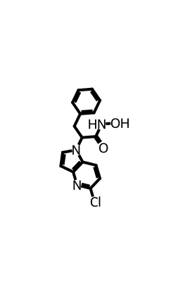 O=C(NO)C(Cc1ccccc1)n1ccc2nc(Cl)ccc21